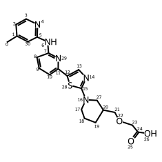 Cc1ccnc(Nc2cccc(-c3cnc(N4CCCC(COCC(=O)O)C4)s3)n2)c1